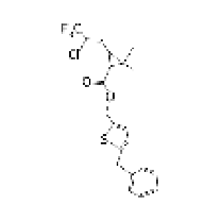 CC1(C)C(C=C(Cl)C(F)(F)F)C1C(=O)OCc1ccc(Cc2ccccc2)s1